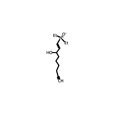 C#CCCCCC(O)C=C[N+]([O-])(CC)CC